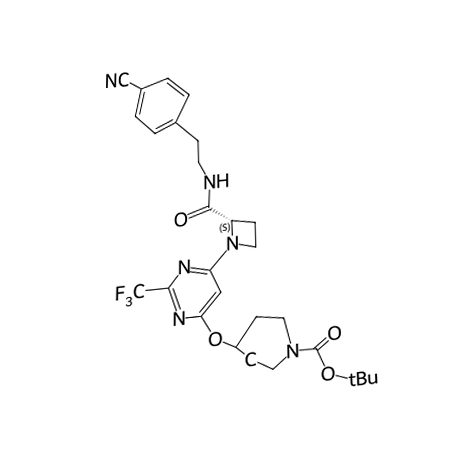 CC(C)(C)OC(=O)N1CCC(Oc2cc(N3CC[C@H]3C(=O)NCCc3ccc(C#N)cc3)nc(C(F)(F)F)n2)CC1